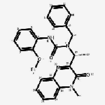 CCOc1ccccc1NC(=O)N(Cc1ccccc1)[C@H](C)c1nc2ccccc2n(C)c1=O